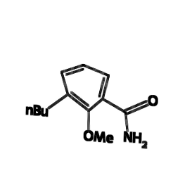 CCCCc1cccc(C(N)=O)c1OC